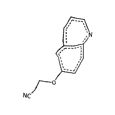 N#CCOc1ccc2ncccc2c1